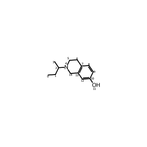 CCC(C)N1CCc2ccc(O)cc2C1